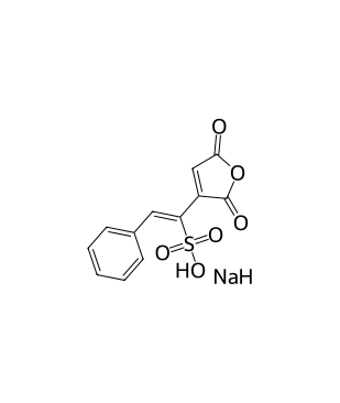 O=C1C=C(C(=Cc2ccccc2)S(=O)(=O)O)C(=O)O1.[NaH]